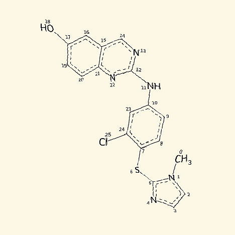 Cn1ccnc1Sc1ccc(Nc2ncc3cc(O)ccc3n2)cc1Cl